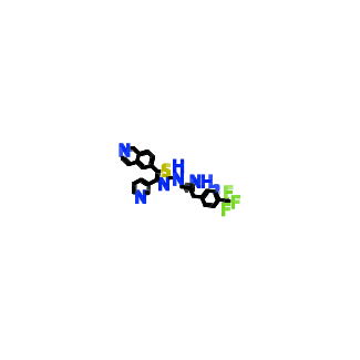 N[C@@H](CNc1nc(-c2cccnc2)c(-c2ccc3cnccc3c2)s1)Cc1ccc(C(F)(F)F)cc1